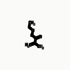 C=C(C)C(=O)OOCC